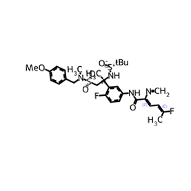 C=N/C(=C\C=C(/C)F)C(=O)Nc1ccc(F)c([C@](C)(CS(=O)(=O)N(C)Cc2ccc(OC)cc2)N[S@+]([O-])C(C)(C)C)c1